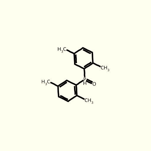 Cc1ccc(C)c([PH](=O)c2cc(C)ccc2C)c1